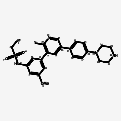 COc1cc(NS(=O)(=O)CC(C)C)cc(-c2cc(-c3ccc(N4CCNCC4)cc3)cnc2C)c1